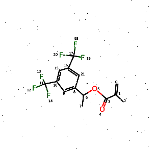 C=C(C)C(=O)OC(C)c1cc(C(F)(F)F)cc(C(F)(F)F)c1